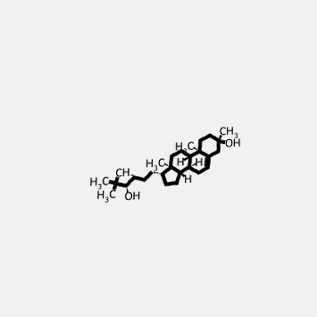 CC(C)(C)[C@@H](O)CCC[C@H]1CC[C@H]2[C@@H]3CC=C4C[C@@](C)(O)CC[C@]4(C)[C@H]3CC[C@]12C